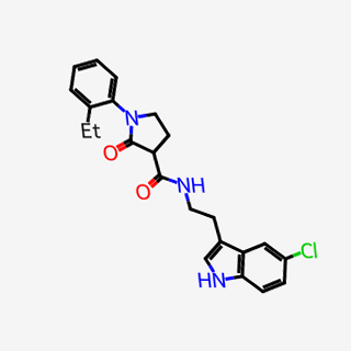 CCc1ccccc1N1CCC(C(=O)NCCc2c[nH]c3ccc(Cl)cc23)C1=O